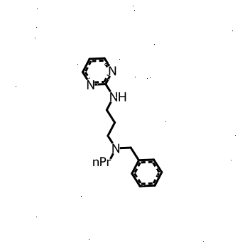 CCCN(CCCNc1ncccn1)Cc1ccccc1